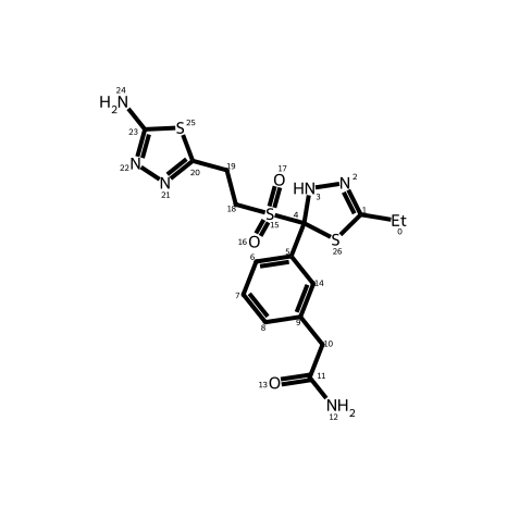 CCC1=NNC(c2cccc(CC(N)=O)c2)(S(=O)(=O)CCc2nnc(N)s2)S1